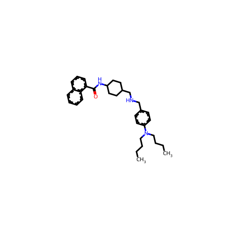 CCCCN(CCCC)c1ccc(CNCC2CCC(NC(=O)c3cccc4ccccc34)CC2)cc1